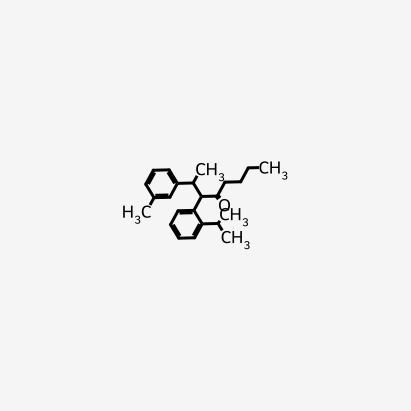 CCCCC(=O)C(c1ccccc1C(C)C)C(C)c1cccc(C)c1